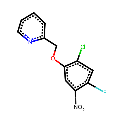 O=[N+]([O-])c1cc(OCc2ccccn2)c(Cl)cc1F